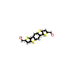 O=Cc1cc2sc3cc4c(cc3c2s1)sc1cc(C=O)sc14